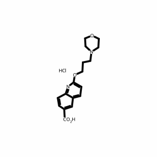 Cl.O=C(O)c1ccc2nc(OCCCN3CCOCC3)ccc2c1